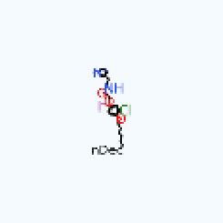 CCCCCCCCCCCCCCCCOc1ccc(OCC(=O)NCCc2ccc[n+](C)c2)cc1Cl.[I-]